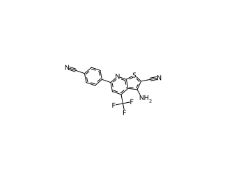 N#Cc1ccc(-c2cc(C(F)(F)F)c3c(N)c(C#N)sc3n2)cc1